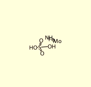 N.O=S(=O)(O)O.[Fe].[Mo]